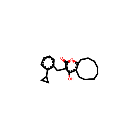 O=c1oc2c(c(O)c1Cc1ccccc1C1CC1)CCCCCCCC2